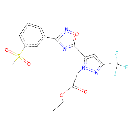 CCOC(=O)Cn1nc(C(F)(F)F)cc1-c1nc(-c2cccc(S(C)(=O)=O)c2)no1